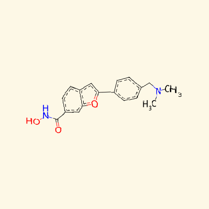 CN(C)Cc1ccc(-c2cc3ccc(C(=O)NO)cc3o2)cc1